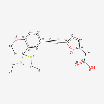 CCSC1(SCC)CCOc2ccc(C#Cc3ccc(CC(=O)O)o3)cc21